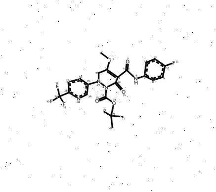 CSC1=C(C(=O)Nc2ccc(F)cc2)C(=O)N(C(=O)OC(C)(C)C)N(c2ccc(C(F)(F)F)nc2)C1